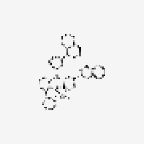 CC1(C)c2ccccc2-c2cccc(N(c3cccc(-c4ccc5ccccc5c4)c3)c3cccc(-c4cccc5ccccc45)c3)c21